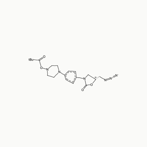 CC(C)(C)C(=O)ON1CCN(c2ccc(N3C[C@H](CN=[N+]=[N-])OC3=O)cc2)CC1